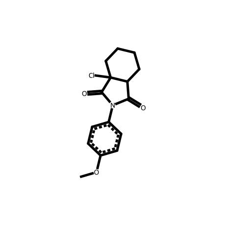 COc1ccc(N2C(=O)C3CCCCC3(Cl)C2=O)cc1